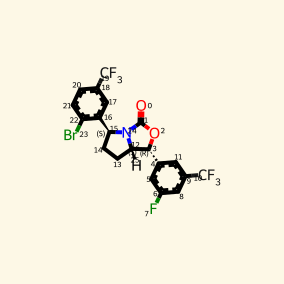 O=C1O[C@H](c2cc(F)cc(C(F)(F)F)c2)[C@@H]2CC[C@@H](c3cc(C(F)(F)F)ccc3Br)N12